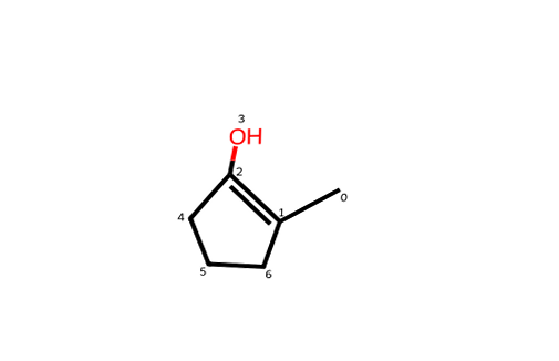 CC1=C(O)CCC1